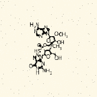 CO[C@H]1[C@H](n2cnc3c(N)ncnc32)OC(C)(COP(=O)(S)[C@@H]2[C@@H](F)[C@@H](CO)O[C@H]2n2nnc3c(=O)[nH]c(N)nc32)[C@H]1O